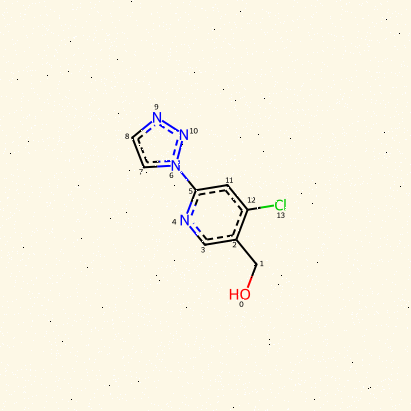 OCc1cnc(-n2ccnn2)cc1Cl